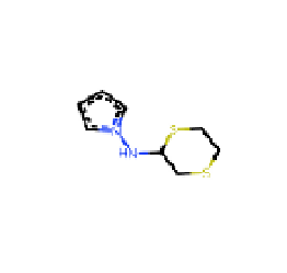 c1ccn(NC2CSCCS2)c1